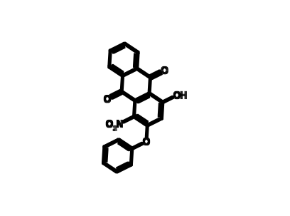 O=C1c2ccccc2C(=O)c2c1c(O)cc(Oc1ccccc1)c2[N+](=O)[O-]